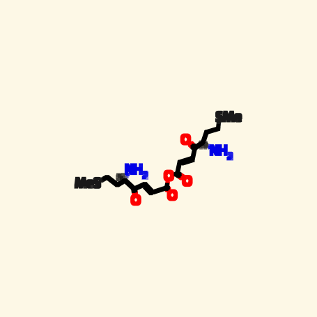 CSCC[C@H](N)C(=O)C=CC(=O)OC(=O)C=CC(=O)[C@@H](N)CCSC